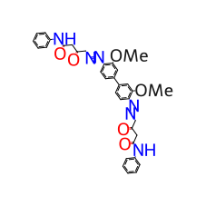 COc1cc(-c2ccc(N=NCC(=O)CC(=O)Nc3ccccc3)c(OC)c2)ccc1N=NCC(=O)CC(=O)Nc1ccccc1